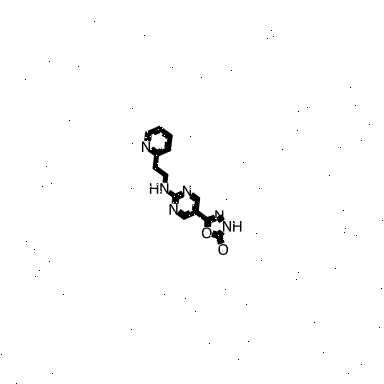 O=c1[nH]nc(-c2cnc(NCCc3ccccn3)nc2)o1